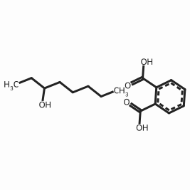 CCCCCC(O)CC.O=C(O)c1ccccc1C(=O)O